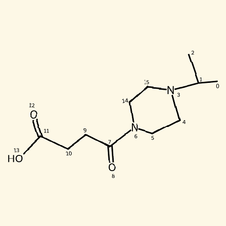 CC(C)N1CCN(C(=O)CCC(=O)O)CC1